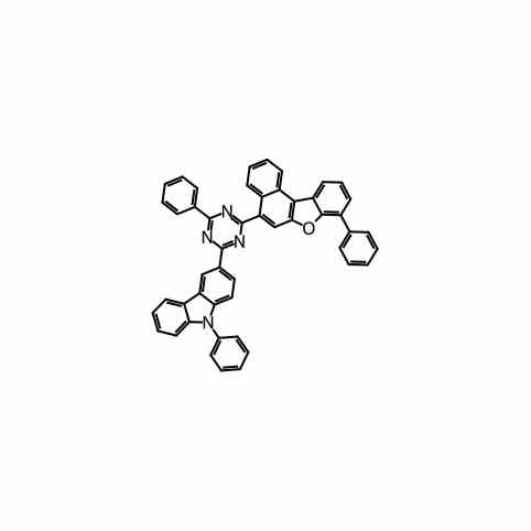 c1ccc(-c2nc(-c3ccc4c(c3)c3ccccc3n4-c3ccccc3)nc(-c3cc4oc5c(-c6ccccc6)cccc5c4c4ccccc34)n2)cc1